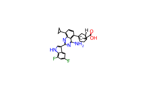 Nc1nc(-c2c[nH]c3c(F)cc(F)cc23)nc2c(C3CC3)ccc(C34CCC(CC3)[C@@H](C(=O)O)C4)c12